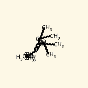 CCCCCCCC(CCCCCCC)C(=O)OCC1(COC(=O)C(CCCCCCC)CCCCCCC)CCC2(CCN(CCCCO[Si](C)(C)C(C)(C)C)CC2)CC1